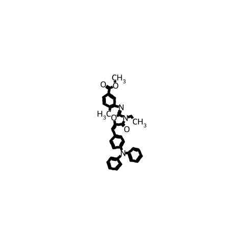 CCN1C(=O)/C(=C\c2ccc(N(c3ccccc3)c3ccccc3)cc2)OC1=Nc1cc(C(=O)OC)ccc1C